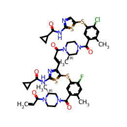 C=CC(=O)N1CCN(C(=O)c2cc(Sc3sc(NC(=O)C4CC4)nc3C=CC(=O)N3CCN(C(=O)c4cc(Sc5cnc(NC(=O)C6CC6)s5)c(Cl)cc4C)C[C@H]3C)c(F)cc2C)C[C@H]1C